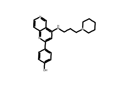 Oc1ccc(-c2cc(NCCCN3CCCCC3)c3cnccc3n2)cc1